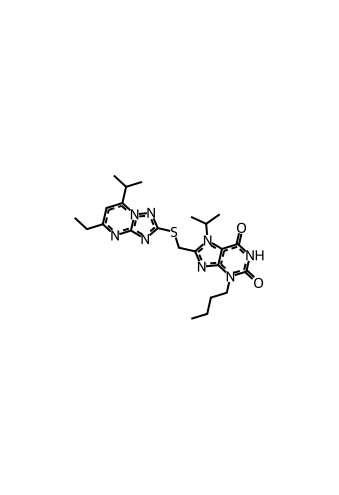 CCCCn1c(=O)[nH]c(=O)c2c1nc(CSc1nc3nc(CC)cc(C(C)C)n3n1)n2C(C)C